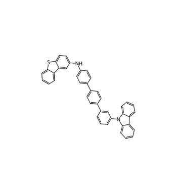 c1cc(-c2ccc(-c3ccc(Nc4ccc5sc6ccccc6c5c4)cc3)cc2)cc(-n2c3ccccc3c3ccccc32)c1